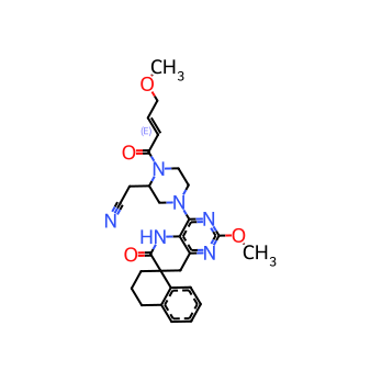 COC/C=C/C(=O)N1CCN(c2nc(OC)nc3c2NC(=O)C2(CCCc4ccccc42)C3)CC1CC#N